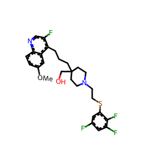 COc1ccc2ncc(F)c(CCCC3(CO)CCN(CCSc4cc(F)cc(F)c4F)CC3)c2c1